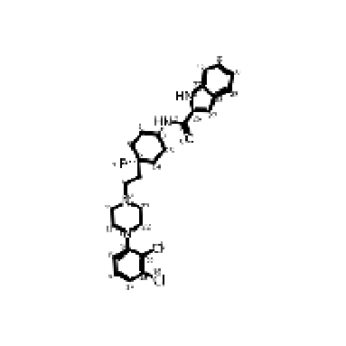 O=C(N[C@H]1CC[C@](F)(CCN2CCN(c3cccc(Cl)c3Cl)CC2)CC1)c1cc2ccccc2[nH]1